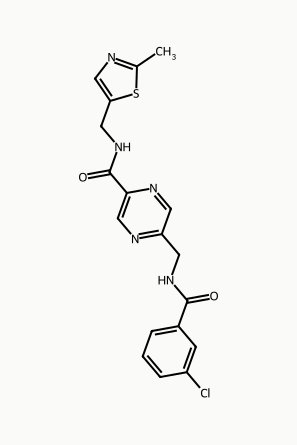 Cc1ncc(CNC(=O)c2cnc(CNC(=O)c3cccc(Cl)c3)cn2)s1